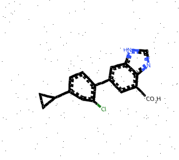 O=C(O)c1cc(-c2ccc(C3CC3)cc2Cl)cc2[nH]cnc12